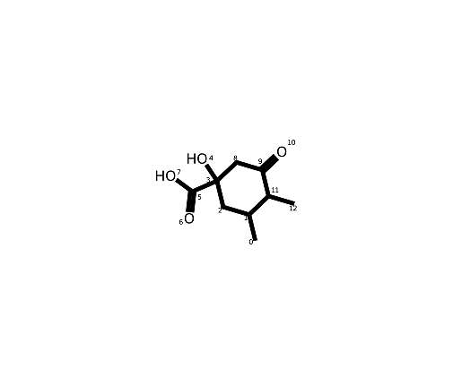 CC1CC(O)(C(=O)O)CC(=O)C1C